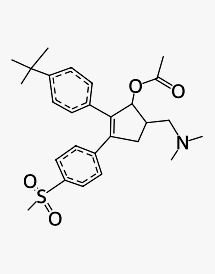 CC(=O)OC1C(c2ccc(C(C)(C)C)cc2)=C(c2ccc(S(C)(=O)=O)cc2)CC1CN(C)C